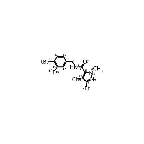 CCc1nn(C)c(C(=O)NCc2ccc(C(C)(C)C)c([18F])c2)c1Cl